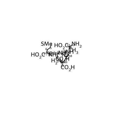 CC(C)[C@H](N)C(=O)O.CSCC[C@H](N)C(=O)O.C[C@H](N)C(=O)O.N[C@@H](Cc1c[nH]cn1)C(=O)O